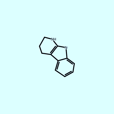 c1ccc2c(c1)[N]C1=C2CCCN1